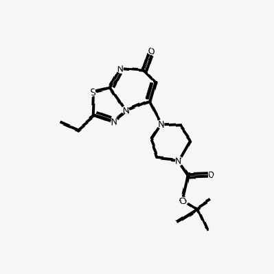 CCc1nn2c(N3CCN(C(=O)OC(C)(C)C)CC3)cc(=O)nc2s1